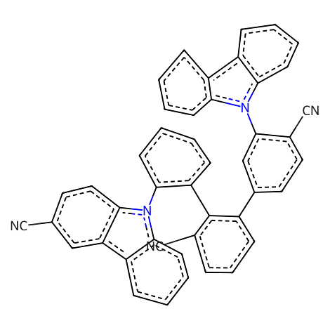 N#Cc1ccc2c(c1)c1ccccc1n2-c1ccccc1-c1c(C#N)cccc1-c1ccc(C#N)c(-n2c3ccccc3c3ccccc32)c1